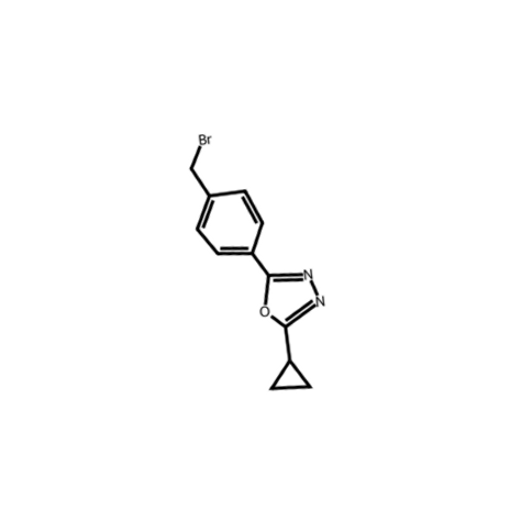 BrCc1ccc(-c2nnc(C3CC3)o2)cc1